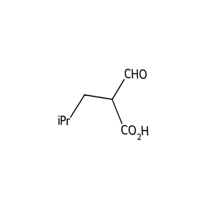 CC(C)CC(C=O)C(=O)O